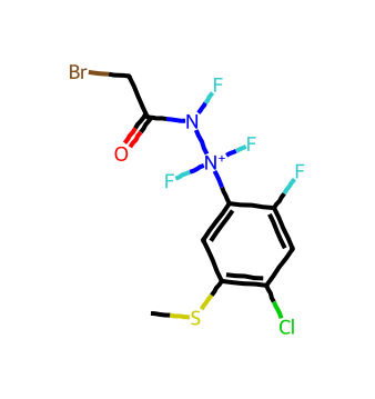 CSc1cc([N+](F)(F)N(F)C(=O)CBr)c(F)cc1Cl